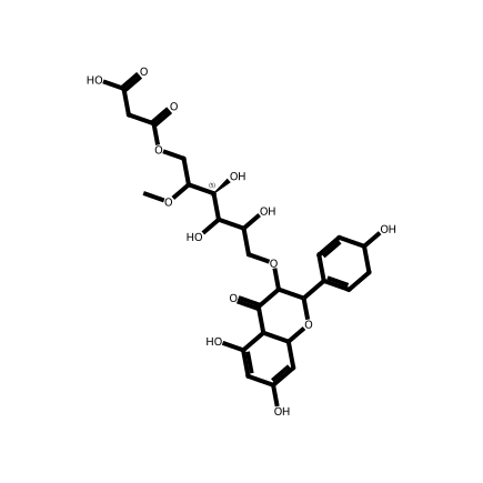 COC(COC(=O)CC(=O)O)[C@@H](O)C(O)C(O)COC1C(=O)C2C(O)=CC(O)=CC2OC1C1=CCC(O)C=C1